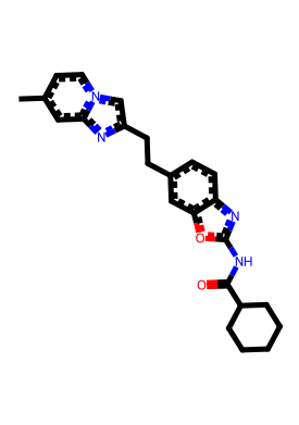 Cc1ccn2cc(CCc3ccc4nc(NC(=O)C5CCCCC5)oc4c3)nc2c1